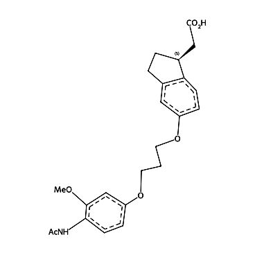 COc1cc(OCCCOc2ccc3c(c2)CC[C@H]3CC(=O)O)ccc1NC(C)=O